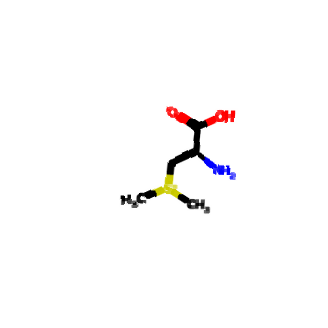 C[S+](C)C[C@H](N)C(=O)O